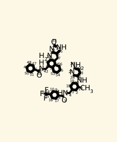 Cc1cc(CNC(=O)c2ccc(C(F)(F)F)cc2)ccc1Nc1ccc(N)nc1.Nc1nc(=O)[nH]cc1Cc1ccc(CNC(=O)c2ccccc2)c2ccccc12